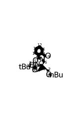 CCCCOC[C@H]1C[C@]1(CN1C(=O)c2ccccc2C1=O)NC(=O)OC(C)(C)C